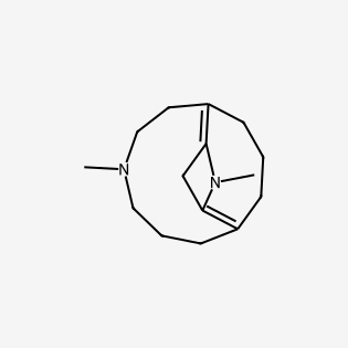 CN1CCC/C2=C3\C/C(=C(\CCC2)CC1)N3C